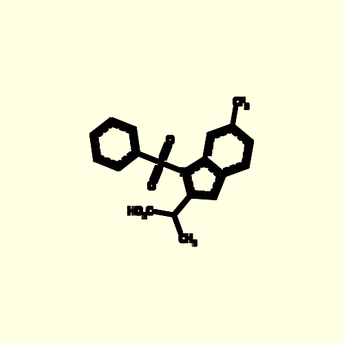 CC(C(=O)O)c1cc2ccc(C(F)(F)F)cc2n1S(=O)(=O)c1ccccc1